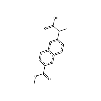 COC(=O)c1ccc2cc(C(C)C(=O)O)ccc2c1